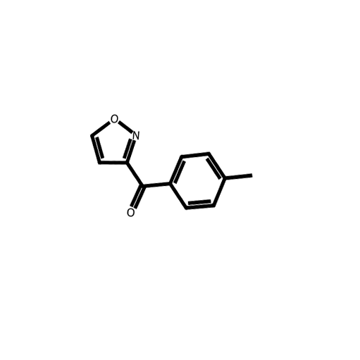 Cc1ccc(C(=O)c2ccon2)cc1